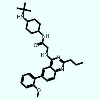 CCCc1nc(NCC(=O)NC2CCC(NC(C)(C)C)CC2)c2cc(-c3ccccc3OC)ccc2n1